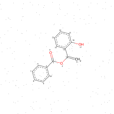 C=C(OC(=O)c1ccccc1)c1ccccc1O